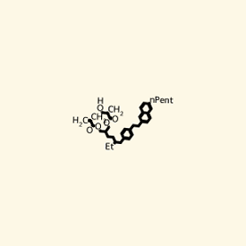 C=C(C)C(=O)OCC(CCC(CC)Cc1ccc(CCc2ccc3cc(CCCCC)ccc3c2)cc1)COC(=O)C(=C)CO